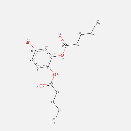 CC(C)CCCC(=O)Oc1ccc(Br)cc1OC(=O)CCCC(C)C